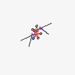 CCCCCCCCCCCCC(CCCCCCCCCCCC)C(=O)NCC1OC(O[C@H]2OC(CNC(=O)C(CCCCCCCCCCCC)CCCCCCCCCCCC)[C@@H](OCc3ccccc3)[C@@H](OCc3ccccc3)C2OCc2ccccc2)C(OCc2ccccc2)[C@H](OCc2ccccc2)[C@@H]1OCc1ccccc1